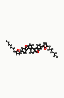 CCCCCCCc1ccc(-c2ccc3c(c2)oc2ccc4c(ccc5oc6cc(-c7ccc(CCCCCCC)o7)ccc6c54)c23)o1